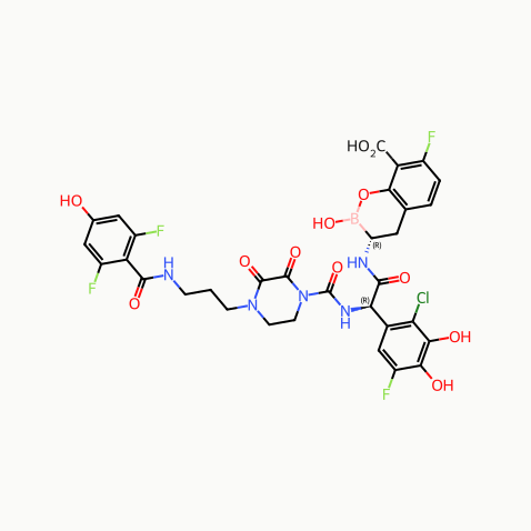 O=C(NCCCN1CCN(C(=O)N[C@@H](C(=O)N[C@H]2Cc3ccc(F)c(C(=O)O)c3OB2O)c2cc(F)c(O)c(O)c2Cl)C(=O)C1=O)c1c(F)cc(O)cc1F